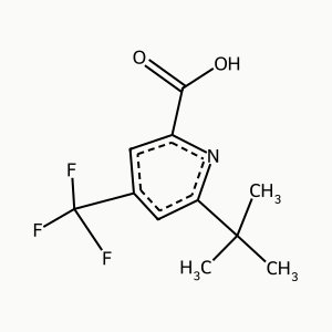 CC(C)(C)c1cc(C(F)(F)F)cc(C(=O)O)n1